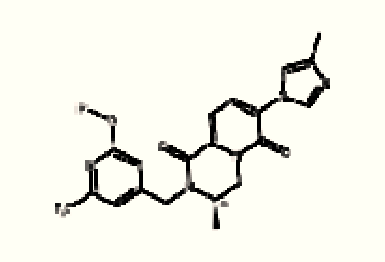 Cc1cn(-c2ccc3n(c2=O)C[C@@H](C)N(Cc2cc(OC(C)C)nc(C(F)(F)F)c2)C3=O)cn1